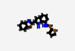 c1csc(SNc2cccc3cc(-c4nc5ccccc5s4)[nH]c23)c1